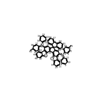 Cc1ccc(N(c2ccccc2)c2cc3c(c4oc5ccccc5c24)-c2c(cc(N(c4ccccc4)c4ccc(C)cc4)c4c2oc2ccccc24)C32c3ccccc3-c3ccccc32)cc1